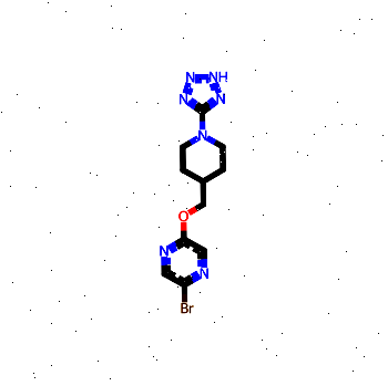 Brc1cnc(OCC2CCN(c3nn[nH]n3)CC2)cn1